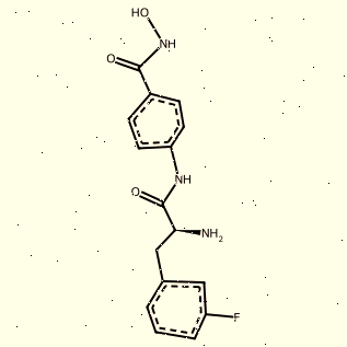 N[C@@H](Cc1cccc(F)c1)C(=O)Nc1ccc(C(=O)NO)cc1